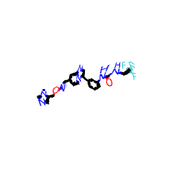 Cn1cncc1CO/N=C/c1ccn2c(-c3cccc(NC(=O)NCC(F)(F)F)c3)cnc2c1